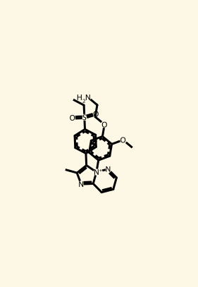 CCS(=O)(=O)c1ccc(C2=C(C)N=C3C=CC=N[N+]32c2ccc(OCCN)c(OC)c2)cc1